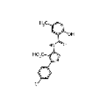 Cc1ccc(O)c(C(=O)Nc2scc(-c3ccc(Cl)cc3)c2C(=O)O)c1